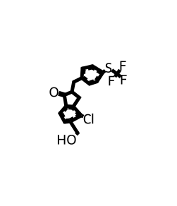 O=C1c2ccc(CO)c(Cl)c2CC1Cc1ccc(SC(F)(F)F)cc1